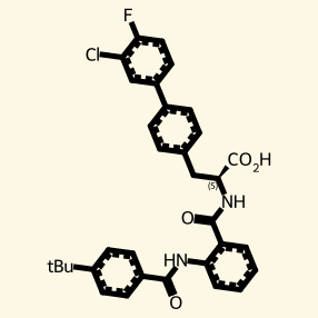 CC(C)(C)c1ccc(C(=O)Nc2ccccc2C(=O)N[C@@H](Cc2ccc(-c3ccc(F)c(Cl)c3)cc2)C(=O)O)cc1